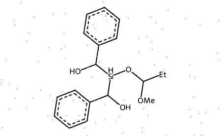 CCC(OC)O[SiH](C(O)c1ccccc1)C(O)c1ccccc1